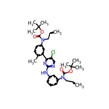 C=CCN(C(=O)OC(C)(C)C)c1cccc(Nc2ncc(Cl)c(-c3cc(N(CC=C)C(=O)OC(C)(C)C)ccc3C)n2)c1